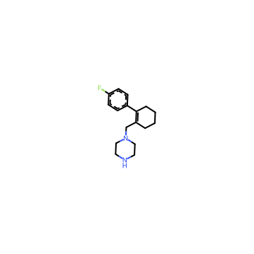 Fc1ccc(C2=C(CN3CCNCC3)CCCC2)cc1